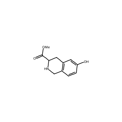 COC(=O)C1Cc2cc(O)ccc2CN1